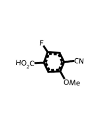 COc1cc(C(=O)O)c(F)cc1C#N